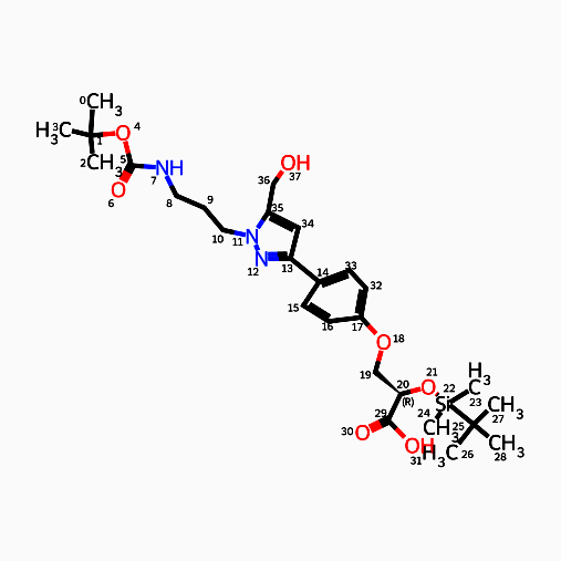 CC(C)(C)OC(=O)NCCCn1nc(-c2ccc(OC[C@@H](O[Si](C)(C)C(C)(C)C)C(=O)O)cc2)cc1CO